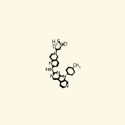 CCN(C)CC(=O)N1CCc2nc(Nc3ncc4c5ccncc5n([C@H]5CC[C@H](C)CC5)c4n3)ccc2C1